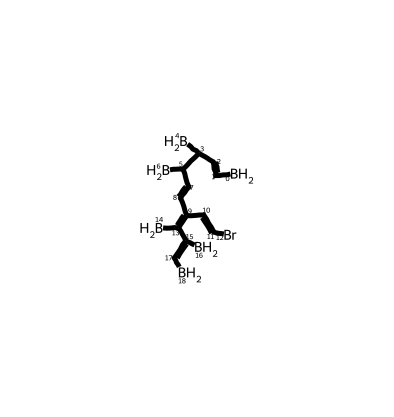 B/C=C/C(B)C(B)/C=C/C(/C=C/Br)=C(B)/C(B)=C/B